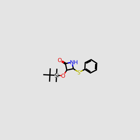 CC(C)(C)[Si](C)(C)OC1C(=O)NC1Sc1ccccc1